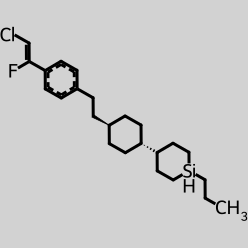 CCC[SiH]1CCC([C@H]2CC[C@H](CCc3ccc(/C(F)=C/Cl)cc3)CC2)CC1